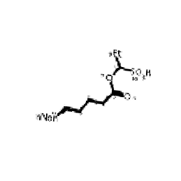 CCCCCCCCCCCCCC(=O)OC(CC)S(=O)(=O)O